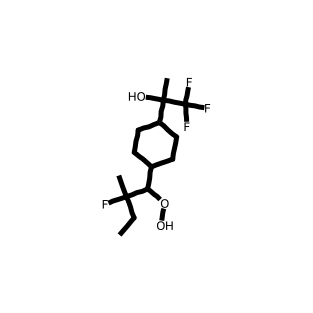 CCC(C)(F)C(OO)C1CCC(C(C)(O)C(F)(F)F)CC1